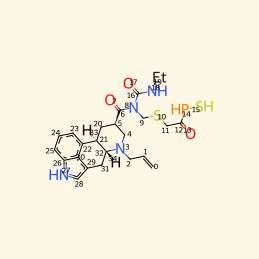 C=CCN1C[C@H](C(=O)N(CSCC(=O)PS)C(=O)NCC)C[C@@H]2c3cccc4[nH]cc(c34)C[C@H]21